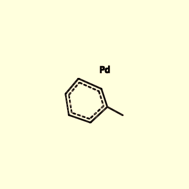 Cc1ccccc1.[Pd]